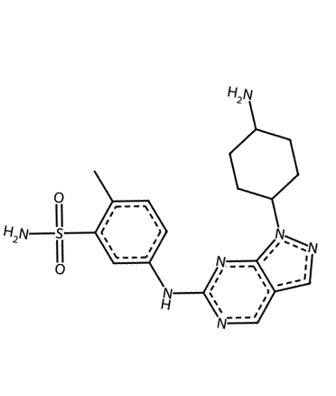 Cc1ccc(Nc2ncc3cnn(C4CCC(N)CC4)c3n2)cc1S(N)(=O)=O